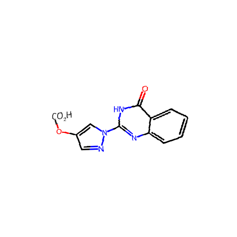 O=C(O)Oc1cnn(-c2nc3ccccc3c(=O)[nH]2)c1